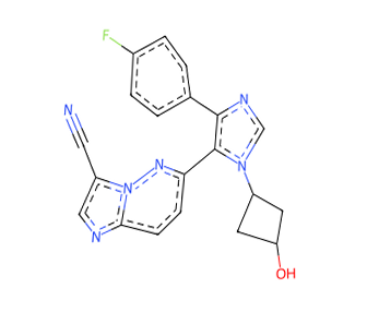 N#Cc1cnc2ccc(-c3c(-c4ccc(F)cc4)ncn3C3CC(O)C3)nn12